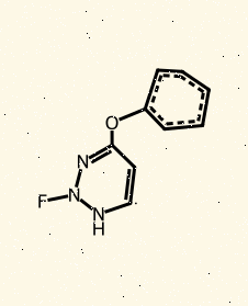 FN1N=C(Oc2ccccc2)C=[C]N1